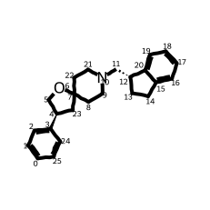 c1ccc([C@H]2COC3(CCN(C[C@H]4CCc5ccccc54)CC3)C2)cc1